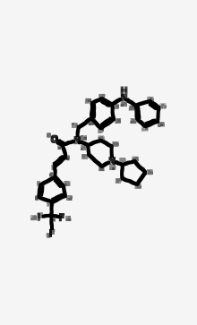 O=C(C=Cc1ccc(C(F)(F)F)cc1)N(Cc1ccc(Nc2ccccc2)cc1)C1CCN(C2CCCC2)CC1